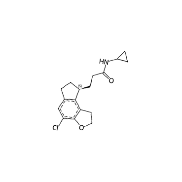 O=C(CC[C@@H]1CCc2cc(Cl)c3c(c21)CCO3)NC1CC1